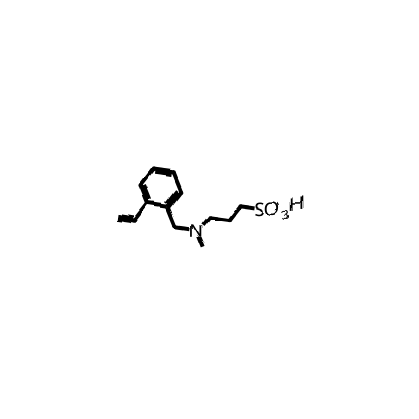 C=Cc1ccccc1CN(C)CCCS(=O)(=O)O